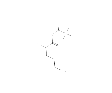 CCCCCCCCCCCCC(C)C(=O)NC(C(=O)[O-])[N+](C)(C)C